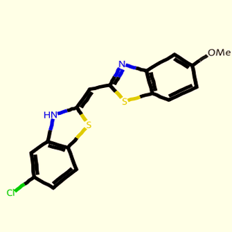 COc1ccc2sc(/C=C3/Nc4cc(Cl)ccc4S3)nc2c1